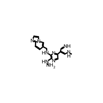 CN/C=C(\C=N)c1cnc(NN)c(NCc2ccc3nccn3c2)n1